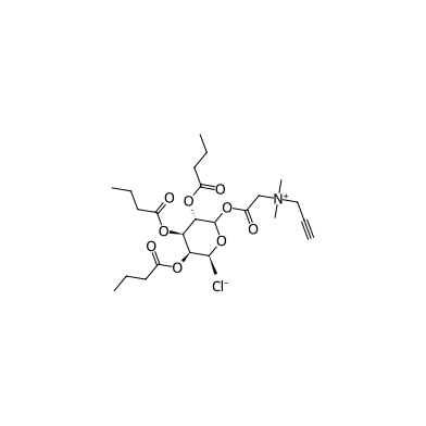 C#CC[N+](C)(C)CC(=O)OC1O[C@@H](C)[C@@H](OC(=O)CCC)[C@@H](OC(=O)CCC)[C@@H]1OC(=O)CCC.[Cl-]